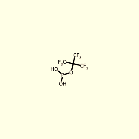 OP(O)OC(C(F)(F)F)(C(F)(F)F)C(F)(F)F